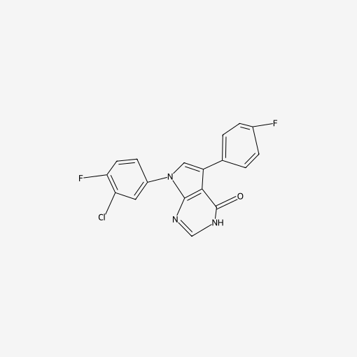 O=c1[nH]cnc2c1c(-c1ccc(F)cc1)cn2-c1ccc(F)c(Cl)c1